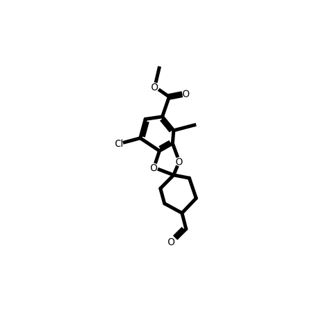 COC(=O)c1cc(Cl)c2c(c1C)OC1(CCC(C=O)CC1)O2